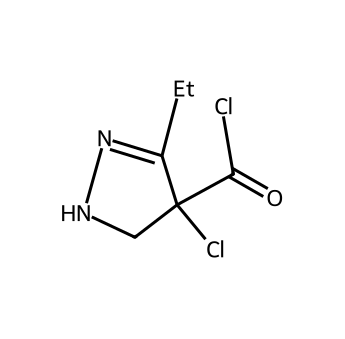 CCC1=NNCC1(Cl)C(=O)Cl